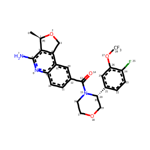 C[C@H]1OCc2c1c(N)nc1ccc(C(=O)N3CCOC[C@H]3c3ccc(F)c(OC(F)(F)F)c3)cc21